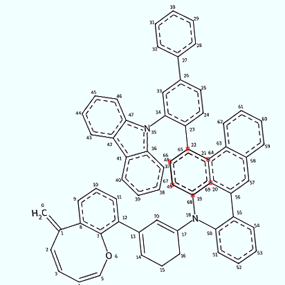 C=C1/C=C\C=C/Oc2c1cccc2C1=CCCC(N(c2ccc(-c3ccc(-c4ccccc4)cc3-n3c4ccccc4c4ccccc43)cc2)c2ccccc2-c2cc3ccccc3c3ccccc23)=C1